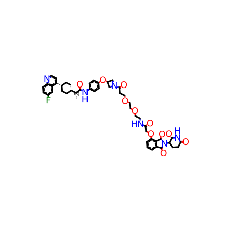 C[C@@H](C(=O)Nc1ccc(OC2CN(C(=O)CCOCCOCCNC(=O)COc3cccc4c3C(=O)N(C3CCC(=O)NC3=O)C4=O)C2)cc1)[C@H]1CC[C@@H](c2ccnc3ccc(F)cc32)CC1